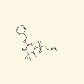 C[C@H](NC(=O)OCc1ccccc1)C(=O)OS(=O)(=O)CCN